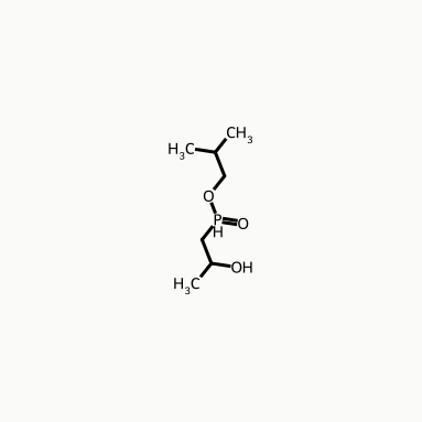 CC(C)CO[PH](=O)CC(C)O